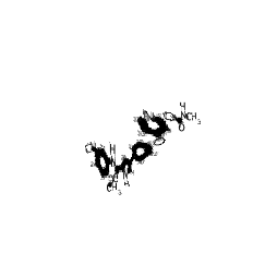 CNC(=O)Oc1cc(Oc2ccc(-c3c[nH]c(C(=O)Nc4cc(Cl)ccc4OC)c3)cc2)ccn1